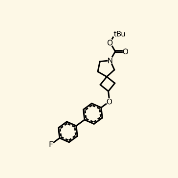 CC(C)(C)OC(=O)N1CCC2(CC(Oc3ccc(-c4ccc(F)cc4)cc3)C2)C1